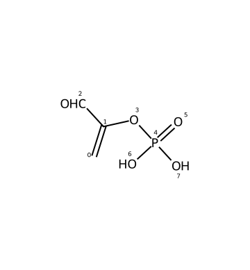 C=C(C=O)OP(=O)(O)O